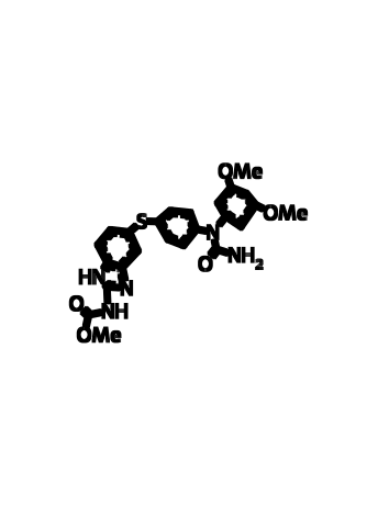 COC(=O)Nc1nc2cc(Sc3ccc(N(C(N)=O)c4cc(OC)cc(OC)c4)cc3)ccc2[nH]1